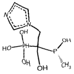 C[P@@](O)C(O)(Cn1ccnc1)[PH](O)(O)O